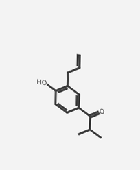 C=CCc1cc(C(=O)C(C)C)ccc1O